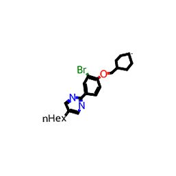 CCCCCCc1cnc(-c2ccc(OCC3CC[CH]CC3)c(Br)c2)nc1